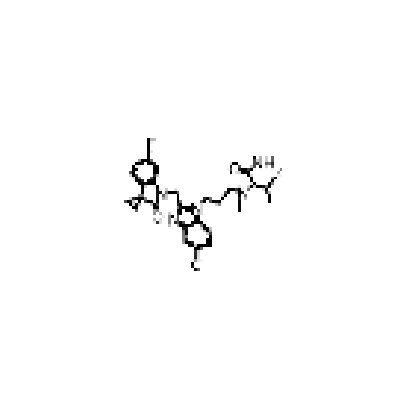 CC(C)C(NCCCn1c(CN2C(=O)C3(CC3)c3ccc(F)cc32)nc2cc(Cl)ccc21)C(N)=O